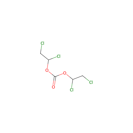 O=C(OC(Cl)CCl)OC(Cl)CCl